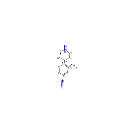 Cc1cc(C#N)ccc1C1CCNCC1